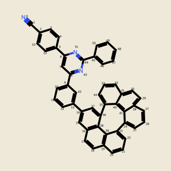 N#Cc1ccc(-c2cc(-c3cccc(-c4cc5ccc6cccc7c8cccc9ccc%10cccc(c(c4)c5c67)c%10c98)c3)nc(-c3ccccc3)n2)cc1